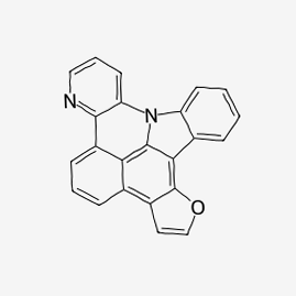 c1cc2c3ccoc3c3c4ccccc4n4c5cccnc5c(c1)c2c34